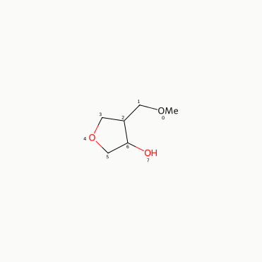 COCC1COCC1O